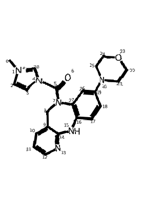 C[n+]1ccn(C(=O)N2Cc3cccnc3Nc3ccc(N4CCOCC4)cc32)c1